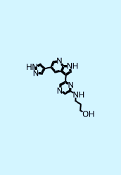 OCCCNc1cncc(-c2c[nH]c3ncc(-c4cn[nH]c4)cc23)n1